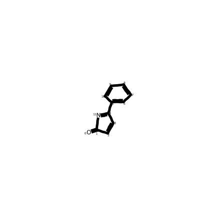 O=C1C=CC(c2ccccc2)=N1